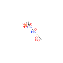 CCOP1(=O)OCC(C)(C)[C@H](C(=O)NCCC(=O)NCCSC(=O)C[C@@H](C)O)O1